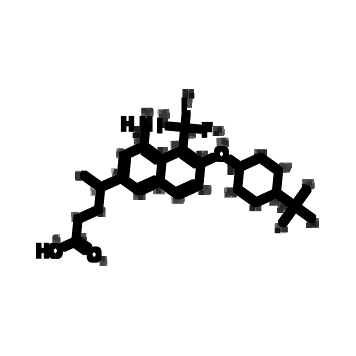 CC(CCC(=O)O)c1cc(N)c2c(C(F)(F)F)c(OC3CCC(C(C)(C)C)CC3)ccc2c1